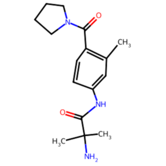 Cc1cc(NC(=O)C(C)(C)N)ccc1C(=O)N1CCCC1